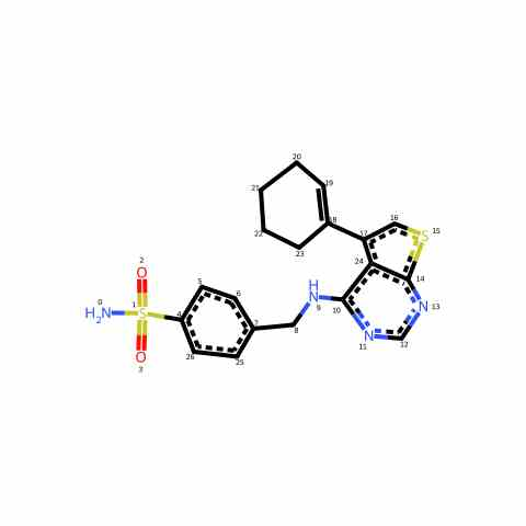 NS(=O)(=O)c1ccc(CNc2ncnc3scc(C4=CCCCC4)c23)cc1